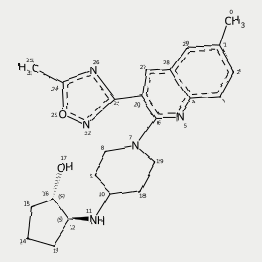 Cc1ccc2nc(N3CCC(N[C@H]4CCC[C@@H]4O)CC3)c(-c3noc(C)n3)cc2c1